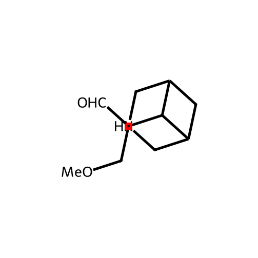 COCC(C=O)C1C2CNCC1C2